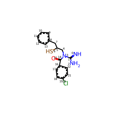 N=C(N)N(CC(S)Cc1ccccc1)C(=O)c1ccc(Cl)cc1